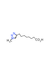 Cn1cc(CCCCCCCC(=O)O)nn1